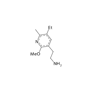 CCc1cc(CCN)c(OC)nc1C